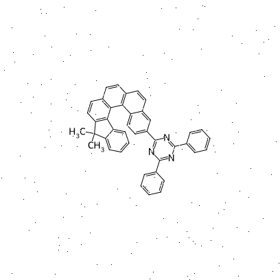 CC1(C)c2ccccc2-c2c1ccc1ccc3ccc4cc(-c5nc(-c6ccccc6)nc(-c6ccccc6)n5)ccc4c3c21